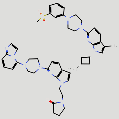 CN[C@H]1C[C@H](n2cc(C#N)c3ccc(N4CCN(c5cccc(S(C)(=O)=O)c5)CC4)nc32)C1.O=C1CCCN1CCn1ccc2ccc(N3CCN(c4cccc5nccn45)CC3)nc21